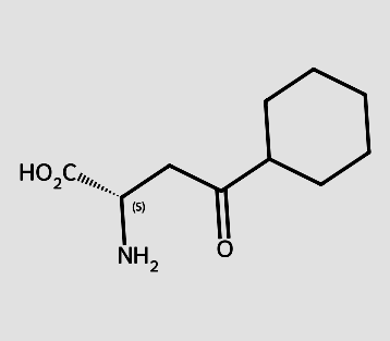 N[C@@H](CC(=O)C1CCCCC1)C(=O)O